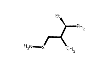 CC[C@@H](P)C(C)CSN